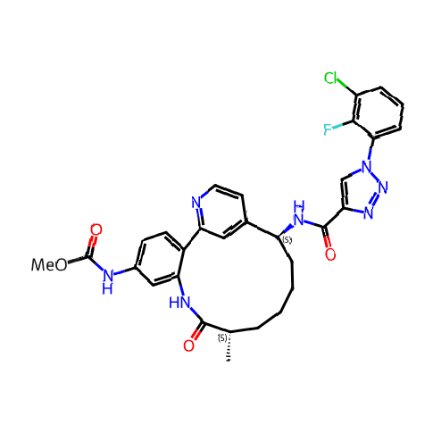 COC(=O)Nc1ccc2c(c1)NC(=O)[C@@H](C)CCCC[C@H](NC(=O)c1cn(-c3cccc(Cl)c3F)nn1)c1ccnc-2c1